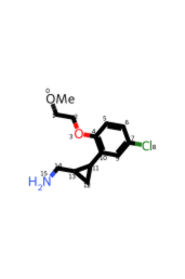 COCCOc1ccc(Cl)cc1C1CC1CN